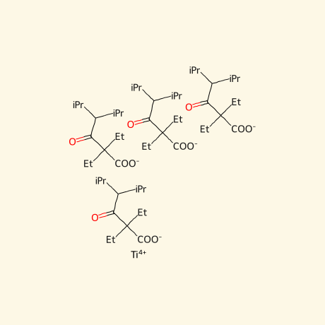 CCC(CC)(C(=O)[O-])C(=O)C(C(C)C)C(C)C.CCC(CC)(C(=O)[O-])C(=O)C(C(C)C)C(C)C.CCC(CC)(C(=O)[O-])C(=O)C(C(C)C)C(C)C.CCC(CC)(C(=O)[O-])C(=O)C(C(C)C)C(C)C.[Ti+4]